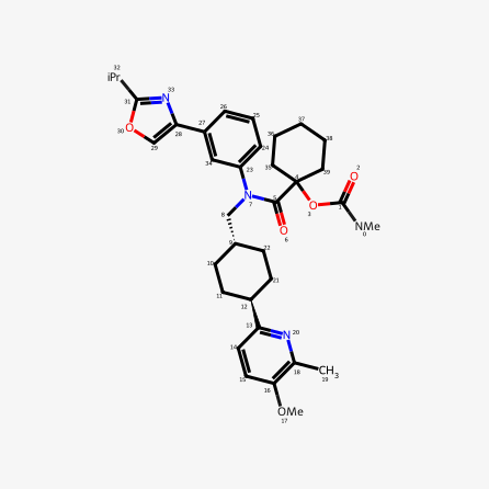 CNC(=O)OC1(C(=O)N(C[C@H]2CC[C@H](c3ccc(OC)c(C)n3)CC2)c2cccc(-c3coc(C(C)C)n3)c2)CCCCC1